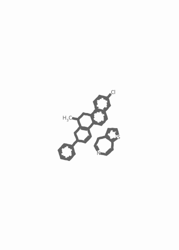 C1=Cc2sccc2CC=N1.CC1Cc2c(ccc3cc(Cl)ccc23)C2=C1CC(c1ccccc1)C=C2